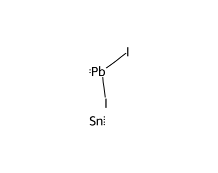 [I][Pb][I].[Sn]